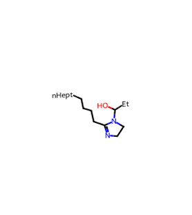 CCCCCCCCCCCC1=NCCN1C(O)CC